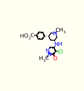 CN1C[C@H](Nc2cnn(C)c(=O)c2Cl)C[C@H](c2ccc(C(=O)O)cc2)C1